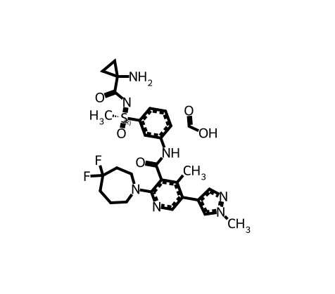 Cc1c(-c2cnn(C)c2)cnc(N2CCCC(F)(F)CC2)c1C(=O)Nc1cccc([S@@](C)(=O)=NC(=O)C2(N)CC2)c1.O=CO